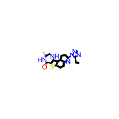 C=Cc1ncnn1-c1ccc2c(ccc3sc4c(c32)NC[C@@H](C)NC4=O)n1